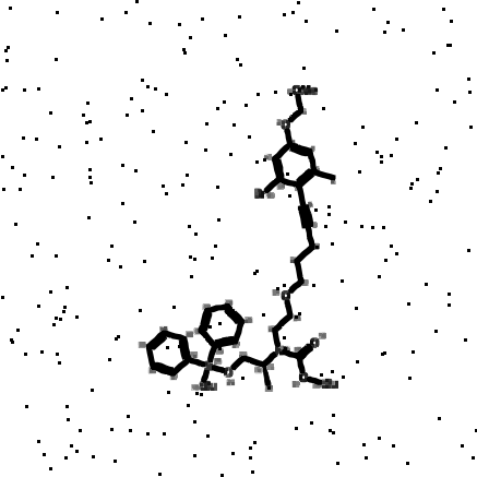 COCOc1cc(C)c(C#CCCCOCCN(C(=O)OC(C)(C)C)[C@@H](C)CO[Si](c2ccccc2)(c2ccccc2)C(C)(C)C)c(Br)c1